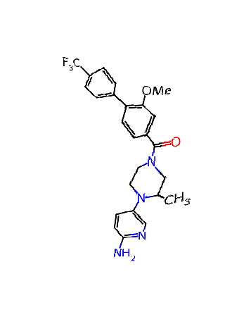 COc1cc(C(=O)N2CCN(c3ccc(N)nc3)C(C)C2)ccc1-c1ccc(C(F)(F)F)cc1